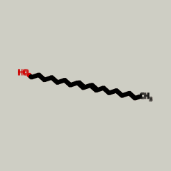 CCCCCCCC=CC=CCCCCCCCO